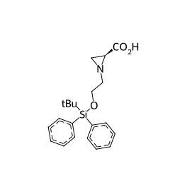 CC(C)(C)[Si](OCCN1C[C@H]1C(=O)O)(c1ccccc1)c1ccccc1